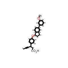 CC#CC(CC(=O)O)c1ccc(OC2CCc3cc(-c4cccc(OCC)c4)ccc32)cc1